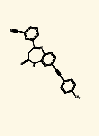 Cc1ccc(C#Cc2ccc3c(c2)NC(=O)CC(c2cccc(C#N)c2)=N3)cc1